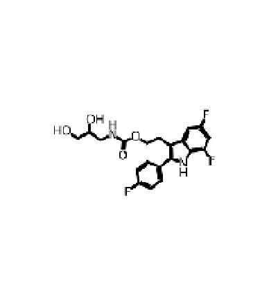 O=C(NCC(O)CO)OCCc1c(-c2ccc(F)cc2)[nH]c2c(F)cc(F)cc12